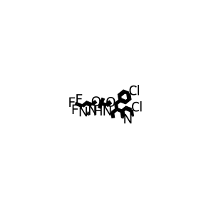 CC(NC(=O)C(C)(C)Oc1cc(C(F)(F)F)ncn1)C(Cc1ccc(Cl)cc1)c1cncc(Cl)c1